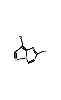 Clc1c[c]n2ncc(Br)c2n1